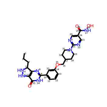 CCCC1NNc2c1nc(-c1cccc(OCC3CCN(c4ncc(C(=O)NO)cn4)CC3)c1)[nH]c2=O